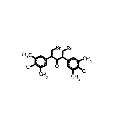 Cc1cc(C(CBr)C(=O)C(CBr)c2cc(C)c(Cl)c(C)c2)cc(C)c1Cl